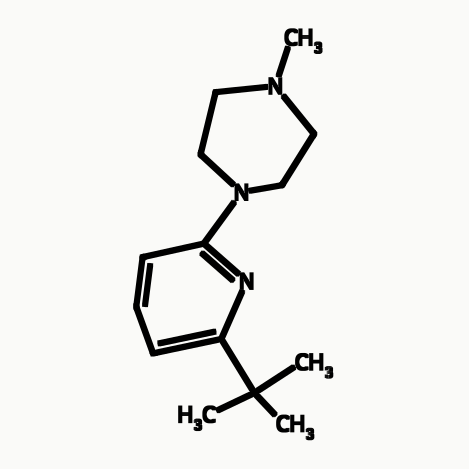 CN1CCN(c2cccc(C(C)(C)C)n2)CC1